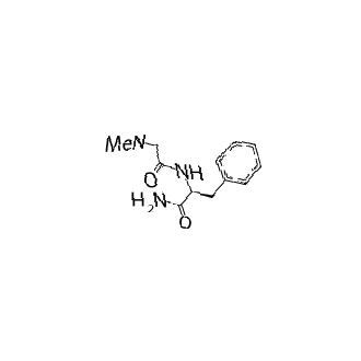 CNCC(=O)N[C@@H](Cc1ccccc1)C(N)=O